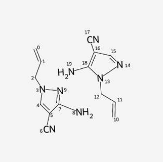 C=CCn1cc(C#N)c(N)n1.C=CCn1ncc(C#N)c1N